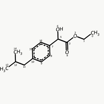 CCOC(=O)C(O)c1ccc(CC(C)C)cc1